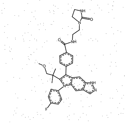 COCC(C)(C)c1c(-c2ccc(C(=O)NCCN3CCNC3=O)cc2)c2cc3[nH]ncc3cc2n1-c1ccc(F)cc1